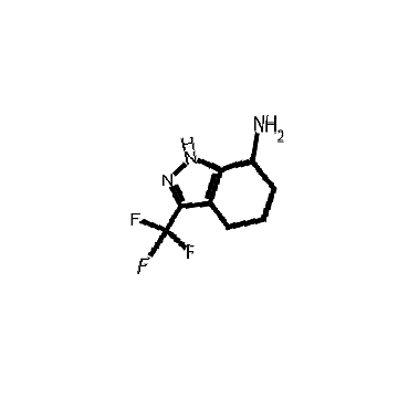 NC1CCCc2c(C(F)(F)F)n[nH]c21